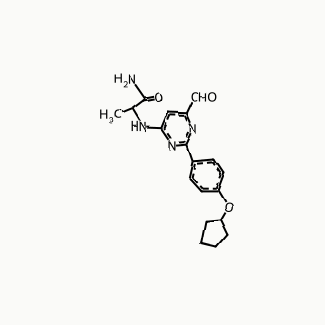 CC(Nc1cc(C=O)nc(-c2ccc(OC3CCCC3)cc2)n1)C(N)=O